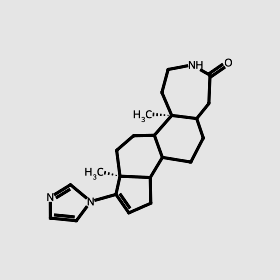 C[C@]12CCNC(=O)CC1CCC1C2CC[C@]2(C)C(n3ccnc3)=CCC12